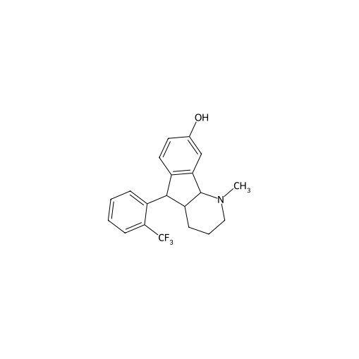 CN1CCCC2C(c3ccccc3C(F)(F)F)c3ccc(O)cc3C21